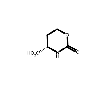 O=C1N[C@H](C(=O)O)CCO1